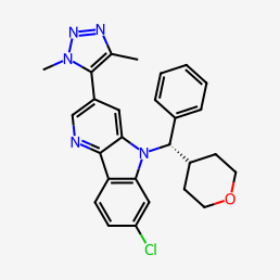 Cc1nnn(C)c1-c1cnc2c3ccc(Cl)cc3n([C@H](c3ccccc3)C3CCOCC3)c2c1